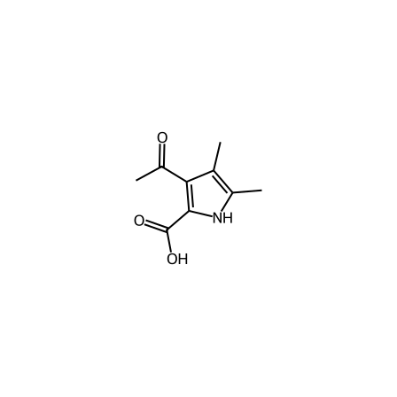 CC(=O)c1c(C(=O)O)[nH]c(C)c1C